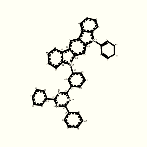 C1=CC(n2c3ccccc3c3cc4c5ccccc5n(-c5cccc(-c6nc(-c7ccccc7)nc(-c7ccccc7)n6)c5)c4cc32)=CCC1